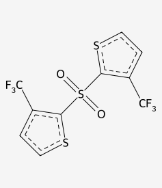 O=S(=O)(c1sccc1C(F)(F)F)c1sccc1C(F)(F)F